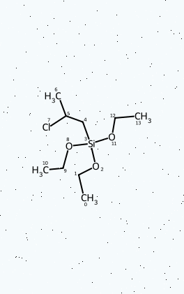 CCO[Si](CC(C)Cl)(OCC)OCC